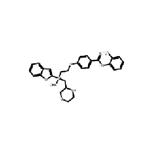 Nc1ccccc1NC(=O)c1ccc(OCC[N+](C=O)(CC2COCCN2)c2cc3ccccc3o2)cc1